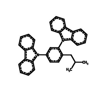 CC(C)Cc1ccc(-n2c3ccccc3c3ccccc32)cc1-n1c2ccccc2c2ccccc21